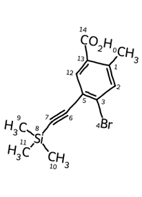 Cc1cc(Br)c(C#C[Si](C)(C)C)cc1C(=O)O